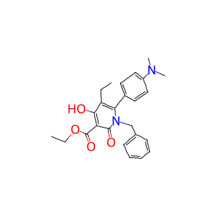 CCOC(=O)c1c(O)c(CC)c(-c2ccc(N(C)C)cc2)n(Cc2ccccc2)c1=O